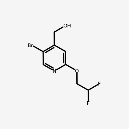 OCc1cc(OCC(F)F)ncc1Br